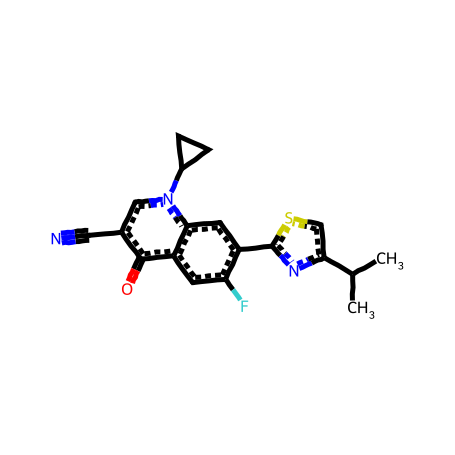 CC(C)c1csc(-c2cc3c(cc2F)c(=O)c(C#N)cn3C2CC2)n1